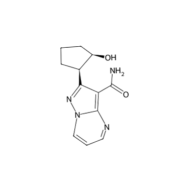 NC(=O)c1c([C@H]2CCC[C@H]2O)nn2cccnc12